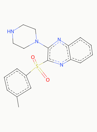 Cc1cccc(S(=O)(=O)c2nc3ccccc3nc2N2CCNCC2)c1